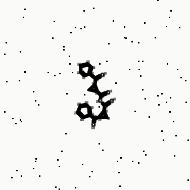 O=C(OC(=O)C1CC1C(=O)c1ccccc1)C1CC1C(=O)c1ccccc1